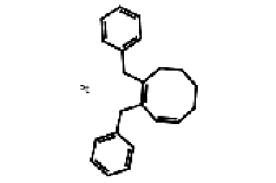 C1=CC(Cc2ccccc2)=C(Cc2ccccc2)CCCC1.[Pt]